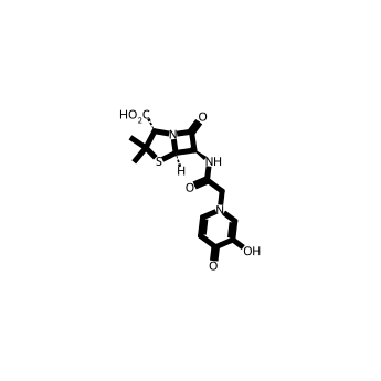 CC1(C)S[C@@H]2[C@H](NC(=O)Cn3ccc(=O)c(O)c3)C(=O)N2[C@H]1C(=O)O